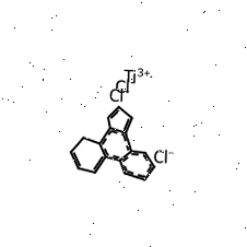 C1=CCc2c3c(c4ccccc4c2=C1)=CC=C3.[Cl-].[Cl-].[Cl-].[Ti+3]